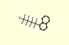 FC(F)(F)C(F)(F)C(F)(F)C(F)(F)c1cc[c]c2ccccc12